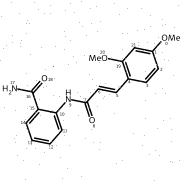 COc1ccc(C=CC(=O)Nc2ccccc2C(N)=O)c(OC)c1